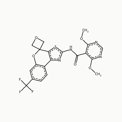 COc1ncnc(OC)c1C(=O)Nc1nc2c(s1)C1(COC1)Oc1cc(C(F)(F)F)ccc1-2